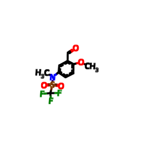 COc1ccc(N(C)S(=O)(=O)C(F)(F)F)cc1C=O